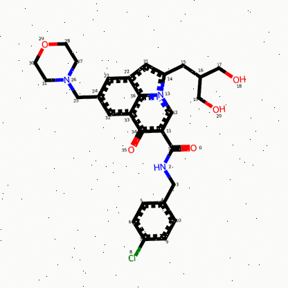 O=C(NCc1ccc(Cl)cc1)c1cn2c(CC(CO)CO)cc3cc(CN4CCOCC4)cc(c1=O)c32